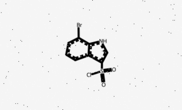 O=S(=O)(Cl)c1c[nH]c2c(Br)cccc12